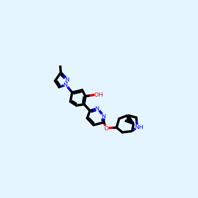 Cc1ccn(-c2ccc(-c3ccc(OC4CC5NCC6(C4)CC56C)nn3)c(O)c2)n1